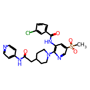 CS(=O)(=O)c1cnc(N2CCC(CC(=O)Nc3ccncc3)CC2)c(NC(=O)c2cccc(Cl)c2)c1